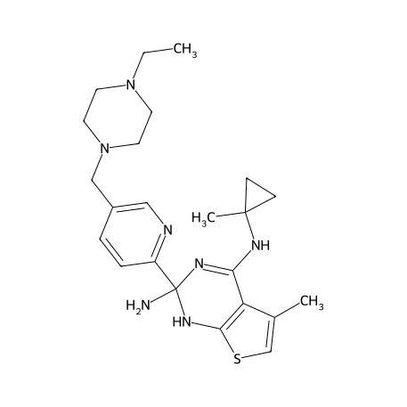 CCN1CCN(Cc2ccc(C3(N)N=C(NC4(C)CC4)c4c(C)csc4N3)nc2)CC1